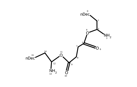 CCCCCCCCCCCC(N)OC(=O)CCC(=O)OC(N)CCCCCCCCCCC